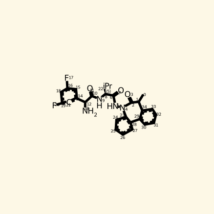 CC1C(=O)N(NC(=O)[C@@H](NC(=O)C(N)c2cc(F)cc(F)c2)C(C)C)c2ccccc2-c2ccccc21